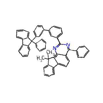 CC1(C)c2ccccc2-c2ccc3c(-c4ccccc4)nc(-c4cccc(-c5cccc(C6(c7ccccc7)c7ccccc7-c7ccccc76)c5)c4)nc3c21